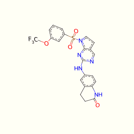 O=C1CCc2cc(Nc3ncc4ccn(S(=O)(=O)c5cccc(OC(F)(F)F)c5)c4n3)ccc2N1